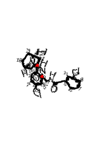 C[C@@H](NC(=O)c1cccc(Cl)c1)C(=O)N[C@H]1C[C@H]2CC[C@@H](C1)N2Cc1ccc(Cl)cc1